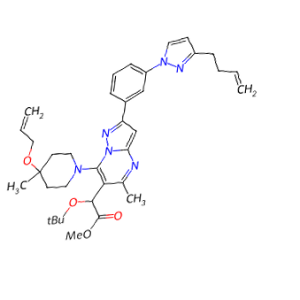 C=CCCc1ccn(-c2cccc(-c3cc4nc(C)c(C(OC(C)(C)C)C(=O)OC)c(N5CCC(C)(OCC=C)CC5)n4n3)c2)n1